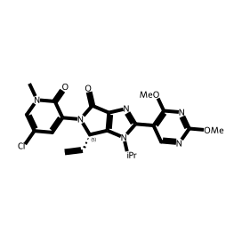 C=C[C@H]1c2c(nc(-c3cnc(OC)nc3OC)n2C(C)C)C(=O)N1c1cc(Cl)cn(C)c1=O